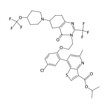 Cc1cc(-c2cc(Cl)ccc2OCCn2c(C(F)(F)F)nc3c(c2=O)CC(N2CCC(OC(F)(F)F)CC2)CC3)c2scc(C(=O)OC(C)C)c2n1